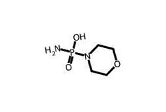 NP(=O)(O)N1CCOCC1